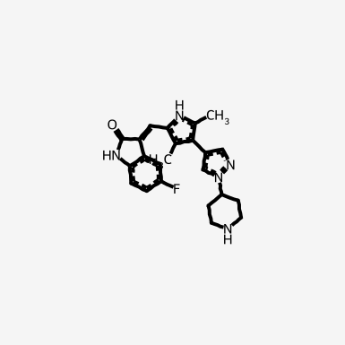 Cc1[nH]c(/C=C2/C(=O)Nc3ccc(F)cc32)c(C)c1-c1cnn(C2CCNCC2)c1